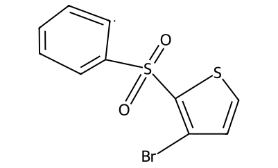 O=S(=O)(c1[c]cccc1)c1sccc1Br